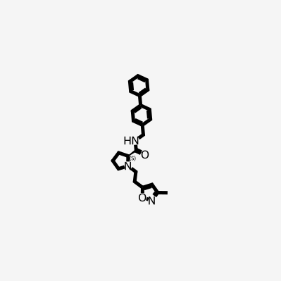 Cc1cc(CCN2CCC[C@H]2C(=O)NCc2ccc(-c3ccccc3)cc2)on1